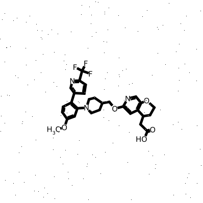 COc1ccc(-c2ccc(C(F)(F)F)nc2)c(N2CCC(COc3cc4c(cn3)OCCC4CC(=O)O)CC2)c1